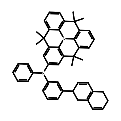 CC1(C)c2cccc3c2N2c4c1cccc4C(C)(C)c1cc(N(c4ccccc4)c4cccc(C5C=CC6=C(C=CCC6)C5)c4)cc(c12)C3(C)C